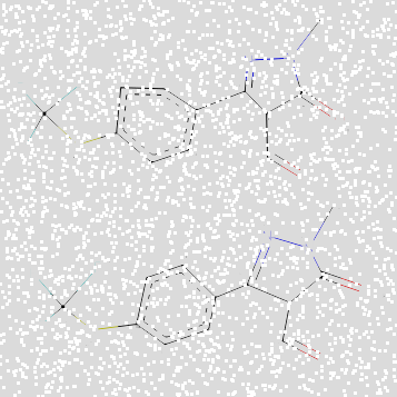 CN1N=C(c2ccc(SC(F)(F)F)cc2)C(C=O)C1=O.CN1N=C(c2ccc(SC(F)(F)F)cc2)C(C=O)C1=O